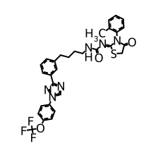 Cc1ccccc1N1C(=O)CS/C1=N\C(=O)NCCCCc1cccc(-c2ncn(-c3ccc(OC(F)(F)F)cc3)n2)c1